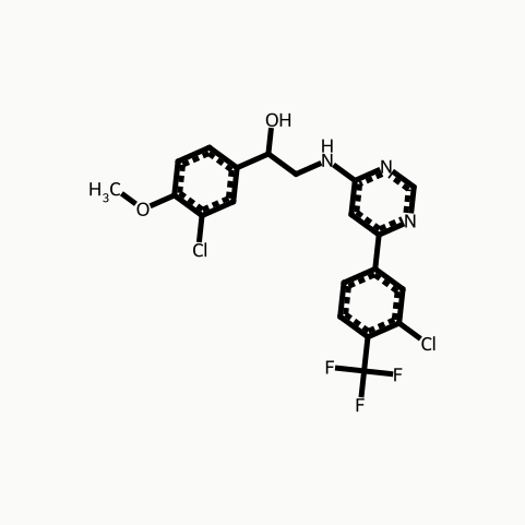 COc1ccc(C(O)CNc2cc(-c3ccc(C(F)(F)F)c(Cl)c3)ncn2)cc1Cl